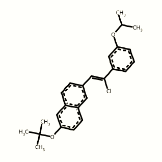 CC(C)Oc1cccc(C(Cl)=Cc2ccc3cc(OC(C)(C)C)ccc3c2)c1